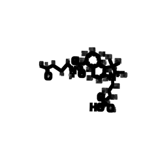 CC(=O)CCCN(C)S(=O)(=O)c1cccc2c3c(ccc12)[N+](CCCS(=O)(=O)O)=C(C)C3(C)C